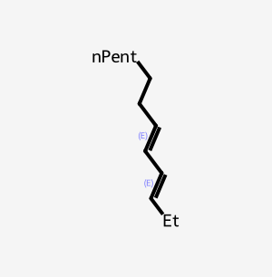 [CH2]C/C=C/C=C/CCCCCCC